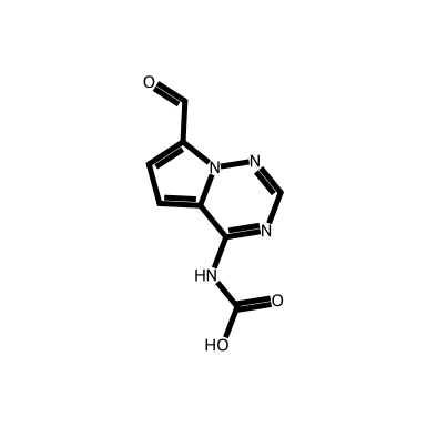 O=Cc1ccc2c(NC(=O)O)ncnn12